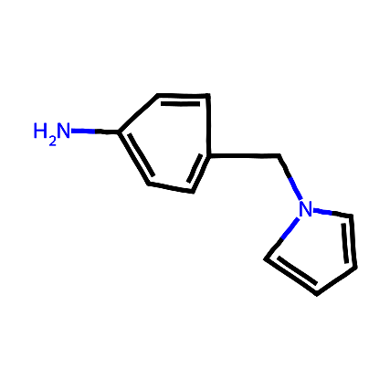 Nc1ccc(Cn2cccc2)cc1